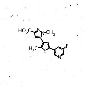 Cc1sc(-c2cncc(F)c2)cc1-c1cc(C(=O)O)nn1C